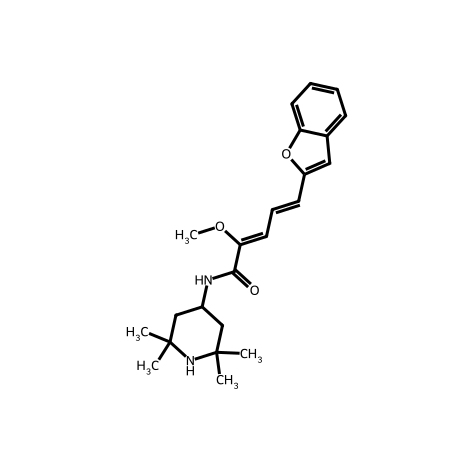 COC(=CC=Cc1cc2ccccc2o1)C(=O)NC1CC(C)(C)NC(C)(C)C1